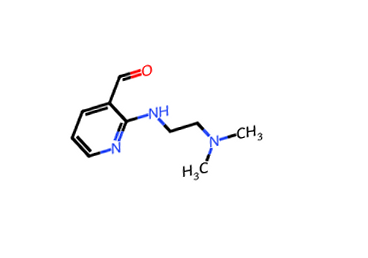 CN(C)CCNc1ncccc1C=O